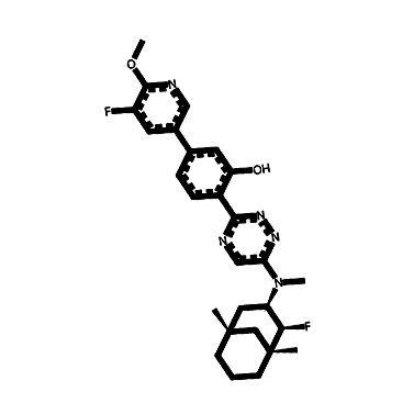 COc1ncc(-c2ccc(-c3ncc(N(C)[C@@H]4C[C@@]5(C)CCC[C@](C)(C5)[C@@H]4F)nn3)c(O)c2)cc1F